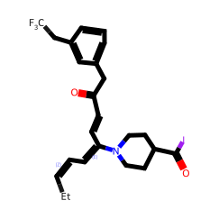 CC/C=C\C=C(/C=CC(=O)Cc1cccc(CC(F)(F)F)c1)N1CCC(C(=O)I)CC1